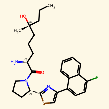 CCC[C@@](C)(O)CCC[C@H](N)C(=O)N1CCC[C@H]1c1nc(-c2ccc(F)c3ccccc23)cs1